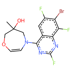 CC1(O)COC=CN(c2nc(F)nc3c(F)c(Br)c(F)cc23)C1